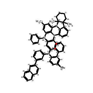 Cc1cc2c3c(c1)N1c4c(cccc4C4(C)CCCCC14C)B3c1ccc(N(c3cccc(-c4ccc5ccccc5c4)c3)c3ccc(C(C)(C)C)cc3-c3ccccc3)cc1N2c1ccccc1